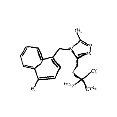 CCc1ccc(Cn2c(C)nnc2SC(C)(C)C(=O)O)c2ccccc12